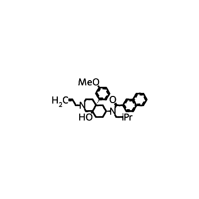 C=CCN1CC[C@@]2(c3cccc(OC)c3)C[C@@H](N(CC(C)C)C(=O)c3ccc4ccccc4c3)CC[C@]2(O)C1